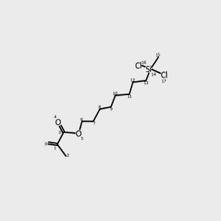 C=C(C)C(=O)OCCCCCCCC[Si](C)(Cl)Cl